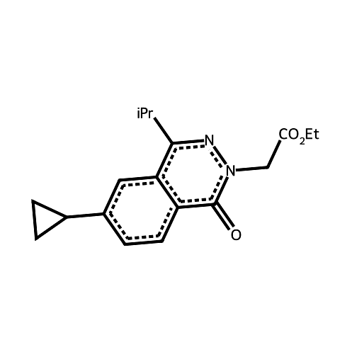 CCOC(=O)Cn1nc(C(C)C)c2cc(C3CC3)ccc2c1=O